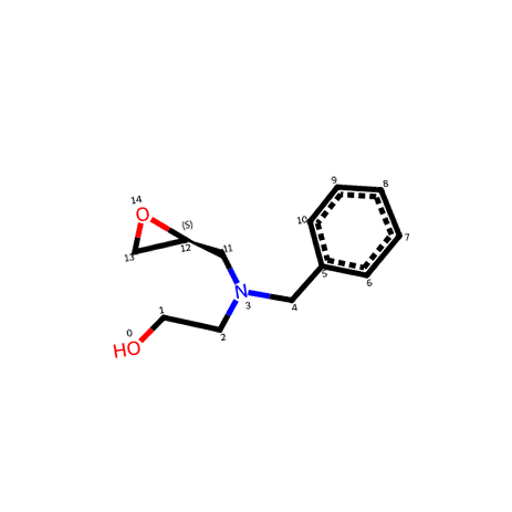 OCCN(Cc1ccccc1)C[C@H]1CO1